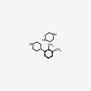 C1CNCCN1.Cc1cccc(N2CCNCC2)c1C